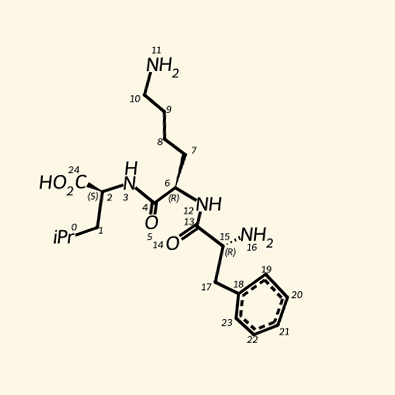 CC(C)C[C@H](NC(=O)[C@@H](CCCCN)NC(=O)[C@H](N)Cc1ccccc1)C(=O)O